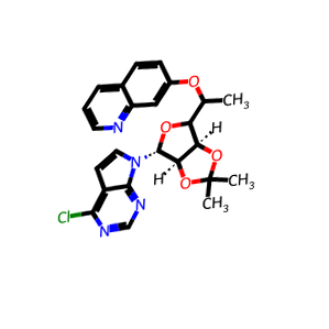 CC(Oc1ccc2cccnc2c1)C1O[C@@H](n2ccc3c(Cl)ncnc32)[C@@H]2OC(C)(C)O[C@H]12